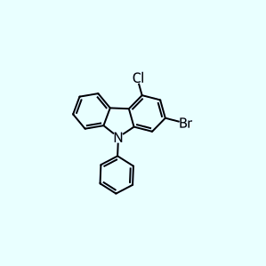 Clc1cc(Br)cc2c1c1ccccc1n2-c1ccccc1